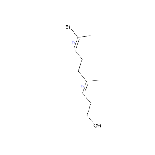 CC/C(C)=C/CC/C(C)=C/CCO